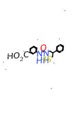 O=C(NCC(CS)c1ccccc1)Nc1cccc(C(=O)O)c1